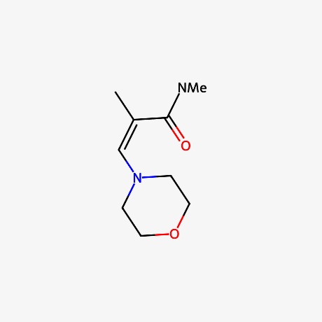 CNC(=O)C(C)=CN1CCOCC1